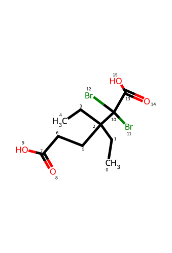 CCC(CC)(CCC(=O)O)C(Br)(Br)C(=O)O